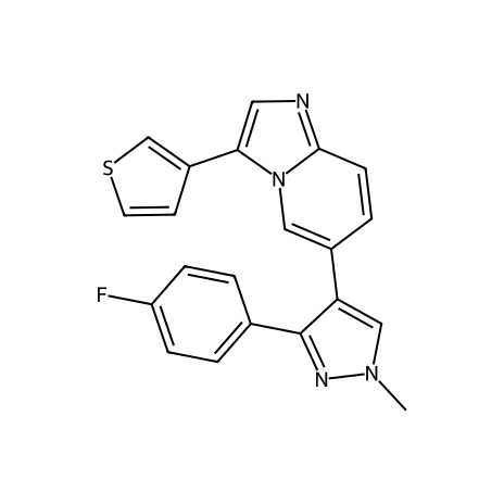 Cn1cc(-c2ccc3ncc(-c4ccsc4)n3c2)c(-c2ccc(F)cc2)n1